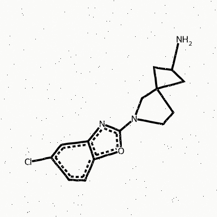 NC1CC2(CCN(c3nc4cc(Cl)ccc4o3)C2)C1